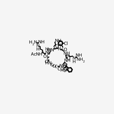 CC(=O)N[C@@H](CCCNC(=N)N)C(=O)N[C@H]1CCC(=O)NCCCC(C(=O)O)NC(=O)[C@H](Cc2c[nH]c3ccccc23)NC(=O)[C@H](CCCNC(=N)N)NC(=O)[C@@H](Cc2ccccc2Cl)NC(=O)[C@H](CCCN)NC1=O